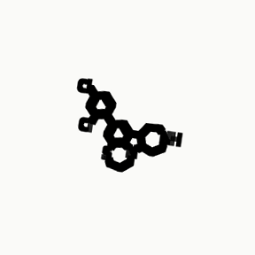 Clc1ccc(-c2cc3c4c(c2)C2CCNCCC2N4CCCS3)c(Cl)c1